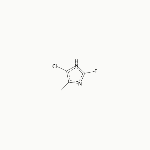 Cc1nc(F)[nH]c1Cl